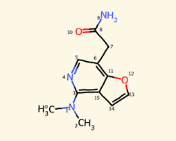 CN(C)c1ncc(CC(N)=O)c2occc12